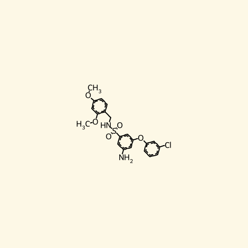 COc1ccc(CNS(=O)(=O)c2cc(N)cc(Oc3cccc(Cl)c3)c2)c(OC)c1